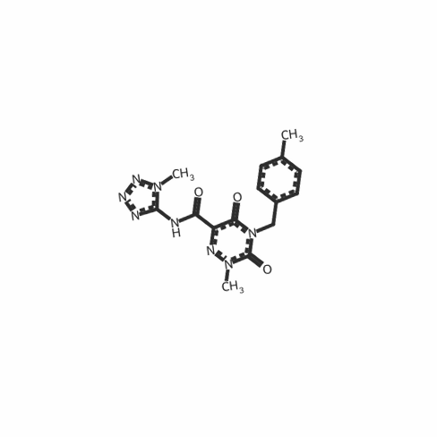 Cc1ccc(Cn2c(=O)c(C(=O)Nc3nnnn3C)nn(C)c2=O)cc1